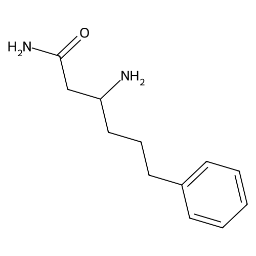 NC(=O)CC(N)CCCc1ccccc1